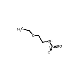 CCOCCN[SH](=O)=O